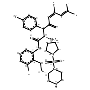 C=C(/C=C(F)\C=C(/C)F)[C@H](c1ccc(F)cc1)[C@H](NC(C)=O)C(=O)Nc1cncc(F)c1CC[C@H]1CNCCN1S(=O)(=O)N1CCCC1